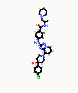 CC(CN1CCCCC1)NC(=O)c1ccc(Nc2nc3c(N4CCC(O)(c5ccc(Cl)cc5)CC4)cccn3n2)cc1